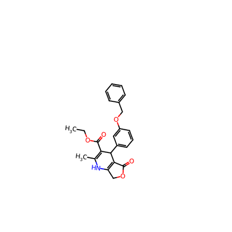 CCOC(=O)C1=C(C)NC2=C(C(=O)OC2)C1c1cccc(OCc2ccccc2)c1